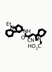 CCn1c2ccccc2c2cc(NC(=O)C(C#N)=Cc3cn(CC(=O)O)c4ccccc34)ccc21